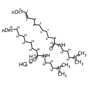 CCCCCCCCC=CCCCCCCCC(=O)NCCCN(C)C.CCCCCCCCCCCCCCCCCC(=O)NCCCN(C)C.Cl.Cl